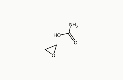 C1CO1.NC(=O)O